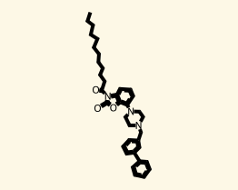 CCCCCCCCCCCC(=O)n1c(=O)oc2c(N3CCN(Cc4cccc(-c5ccccc5)c4)CC3)cccc21